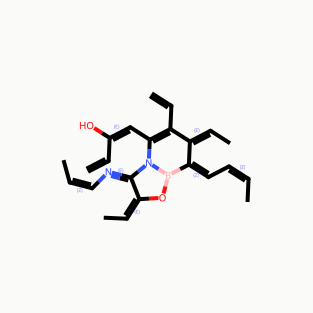 C=CC1=C(/C=C(/O)C=C)N2B(OC(=C/C)/C2=N\C=C/C)C(=C/C=C\C)/C1=C\C